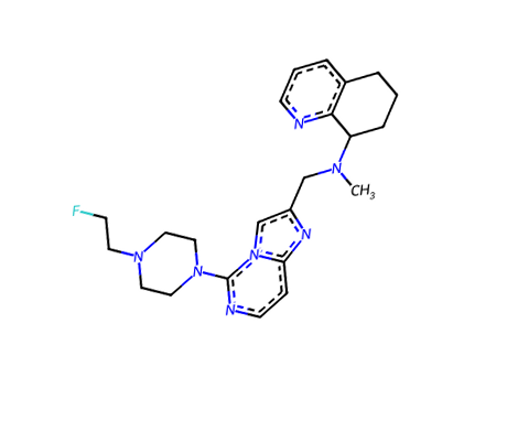 CN(Cc1cn2c(N3CCN(CCF)CC3)nccc2n1)C1CCCc2cccnc21